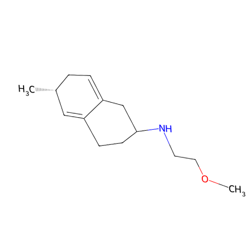 COCCNC1CCC2=C[C@H](C)CC=C2C1